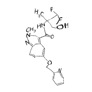 Cn1nc2ccc(OCc3ccccn3)cc2c1C(=O)NC(C)(CO)C(F)F